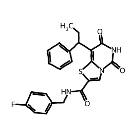 CCC(c1ccccc1)c1c(=O)[nH]c(=O)n2cc(C(=O)NCc3ccc(F)cc3)sc12